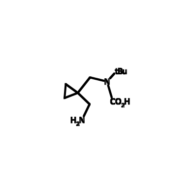 CC(C)(C)N(CC1(CN)CC1)C(=O)O